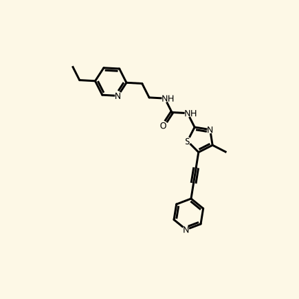 CCc1ccc(CCNC(=O)Nc2nc(C)c(C#Cc3ccncc3)s2)nc1